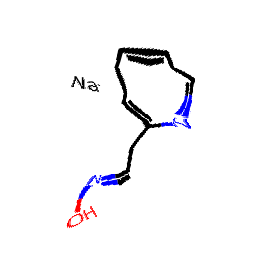 ON=Cc1ccccn1.[Na]